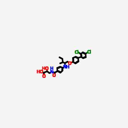 CCC(C)C(COc1ccc(-c2ccc(Cl)cc2Cl)cc1)Nc1ccc(C(=O)NCC(O)C(=O)O)cc1